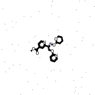 COC(=O)c1ccnc(/C(COc2ccccn2)=N/OC2CCCCO2)c1